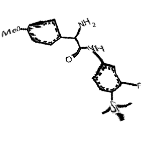 COc1ccc(C(N)C(=O)Nc2ccc([Si](C)(C)C)c(F)c2)cc1